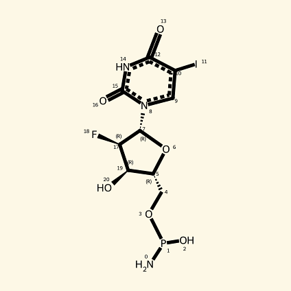 NP(O)OC[C@H]1O[C@@H](n2cc(I)c(=O)[nH]c2=O)[C@H](F)[C@@H]1O